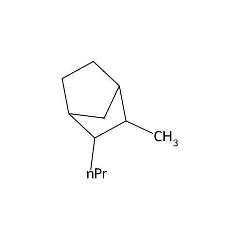 CCCC1C2CCC(C2)C1C